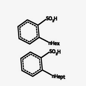 CCCCCCCc1ccccc1S(=O)(=O)O.CCCCCCc1ccccc1S(=O)(=O)O